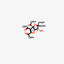 CCCCCCC[C@]1(OC)O[C@@](C(=O)OC)(/C(=C/C(=O)OC)C(=O)OC)[C@H](O)[C@H]1O